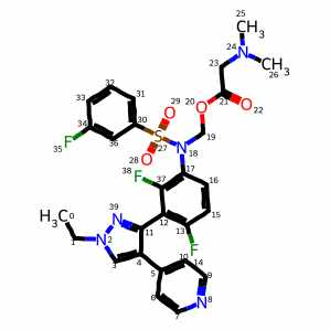 CCn1cc(-c2ccncc2)c(-c2c(F)ccc(N(COC(=O)CN(C)C)S(=O)(=O)c3cccc(F)c3)c2F)n1